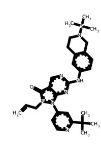 C=CCn1c(=O)c2cnc(Nc3ccc4c(c3)CCN(S(C)(C)C)C4)nc2n1-c1ccnc(C(C)(C)C)c1